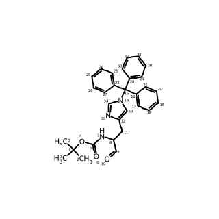 CC(C)(C)OC(=O)NC(C=O)Cc1cn(C(c2ccccc2)(c2ccccc2)c2ccccc2)cn1